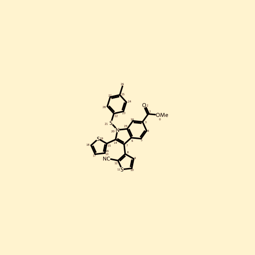 COC(=O)c1ccc2c(-c3ccsc3C#N)c(-c3cccs3)n(Sc3ccc(C)cc3)c2c1